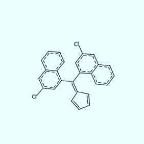 Clc1cc(C(=C2[C]=CC=C2)c2cc(Cl)cc3ccccc23)c2ccccc2c1